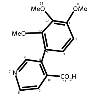 COc1ccc(-c2cnccc2C(=O)O)c(OC)c1OC